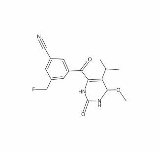 COC1NC(=O)NC(C(=O)c2cc(C#N)cc(CF)c2)=C1C(C)C